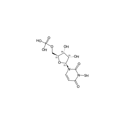 O=c1ccn([C@H]2O[C@@H](COP(=O)(O)O)[C@H](O)[C@@H]2O)c(=O)n1S